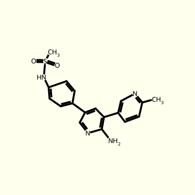 Cc1ccc(-c2cc(-c3ccc(NS(C)(=O)=O)cc3)cnc2N)cn1